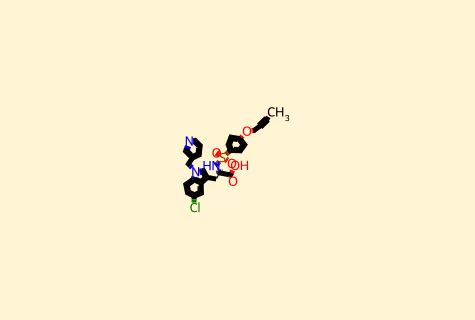 CC#CCOc1ccc(S(=O)(=O)N[C@@H](Cc2cn(Cc3cccnc3)c3ccc(Cl)cc23)C(=O)O)cc1